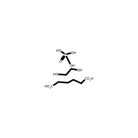 O=C(O)CCCCC(=O)O.O=P(O)(O)O.OCCO